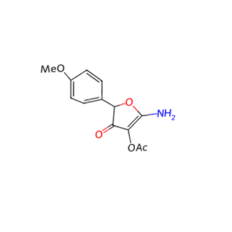 COc1ccc(C2OC(N)=C(OC(C)=O)C2=O)cc1